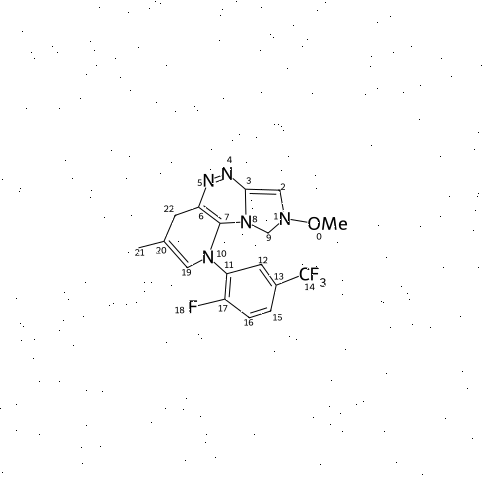 CON1C=C2N=NC3=C(N2C1)N(c1cc(C(F)(F)F)ccc1F)C=C(C)C3